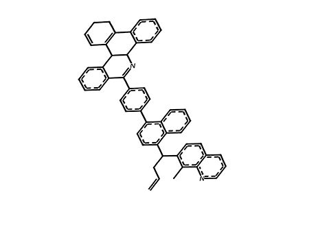 C=CCC(c1ccc2cccnc2c1C)c1ccc(-c2ccc(C3=NC4c5ccccc5C5=C(C=CCC5)C4c4ccccc43)cc2)c2ccccc12